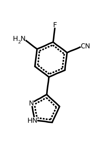 N#Cc1cc(-c2cc[nH]n2)cc(N)c1F